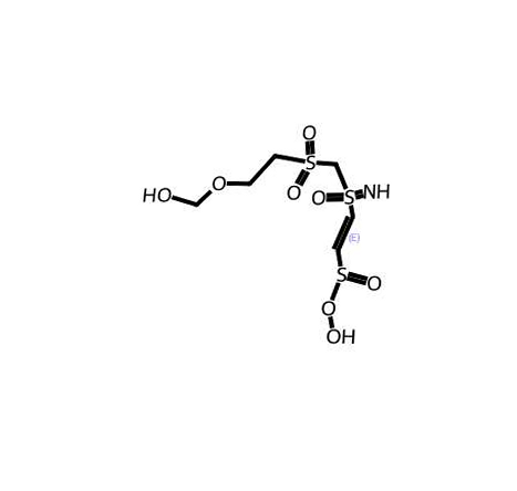 N=S(=O)(/C=C/S(=O)OO)CS(=O)(=O)CCOCO